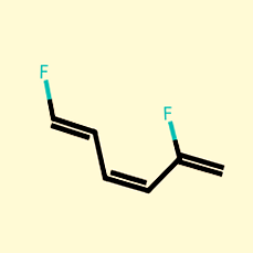 C=C(F)/C=C\C=C\F